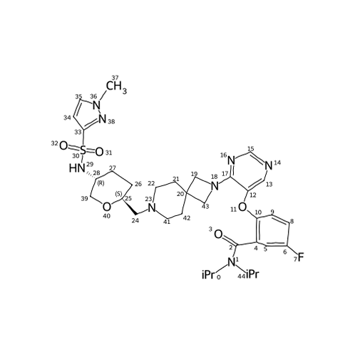 CC(C)N(C(=O)c1cc(F)ccc1Oc1cncnc1N1CC2(CCN(C[C@@H]3CC[C@@H](NS(=O)(=O)c4ccn(C)n4)CO3)CC2)C1)C(C)C